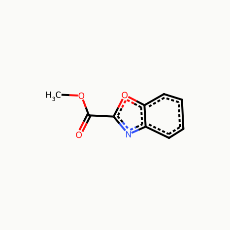 COC(=O)c1nc2ccccc2o1